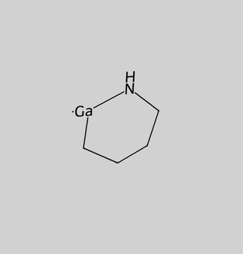 C1C[CH2][Ga][NH]C1